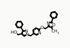 Cc1oc(-c2ccccc2)nc1COc1ccc(Cn2cc(CO)c(-c3ccccc3)n2)cn1